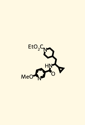 CCOC(=O)N1CCC(CC(NC(=O)c2ccc(OC)nc2)C2CC2)CC1